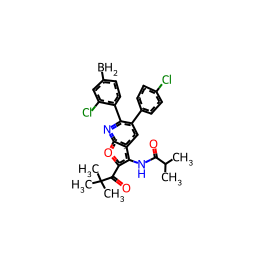 Bc1ccc(-c2nc3oc(C(=O)C(C)(C)C)c(NC(=O)C(C)C)c3cc2-c2ccc(Cl)cc2)c(Cl)c1